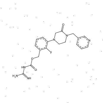 N=C(N)NC(=O)OCc1cccc(N2CCN(Cc3cccnc3)C(=O)C2)c1F